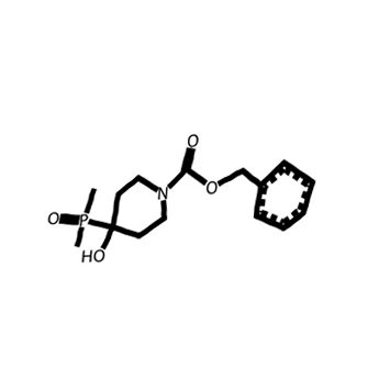 CP(C)(=O)C1(O)CCN(C(=O)OCc2ccccc2)CC1